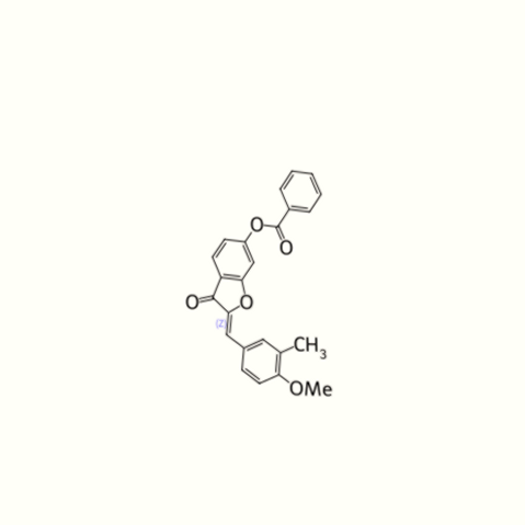 COc1ccc(/C=C2\Oc3cc(OC(=O)c4ccccc4)ccc3C2=O)cc1C